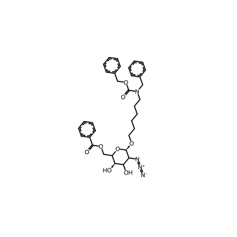 [N-]=[N+]=NC1C(O)[C@@H](O)C(COC(=O)c2ccccc2)O[C@H]1OCCCCCCN(Cc1ccccc1)C(=O)OCc1ccccc1